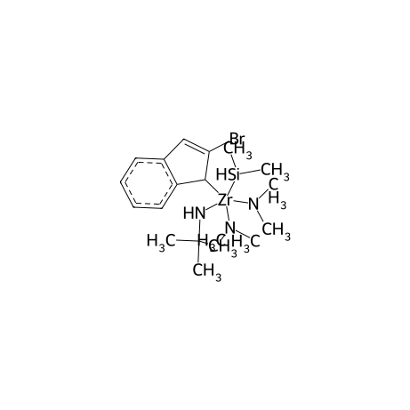 C[N](C)[Zr]([NH]C(C)(C)C)([CH]1C(Br)=Cc2ccccc21)([N](C)C)[SiH](C)C